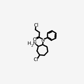 NC1CC(Cl)CCCC1N(C(=O)CCCl)c1ccccc1